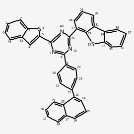 c1ccc2sc(-c3nc(-c4ccc(-c5cccc6ccccc56)cc4)nc(-c4cccc5c4sc4ccccc45)n3)cc2c1